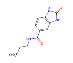 CCOC(=O)CCNC(=O)c1ccc2[nH]c(=O)[nH]c2c1